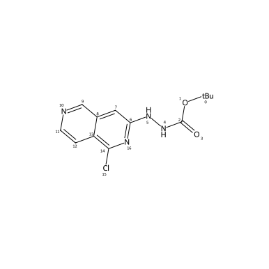 CC(C)(C)OC(=O)NNc1cc2cnccc2c(Cl)n1